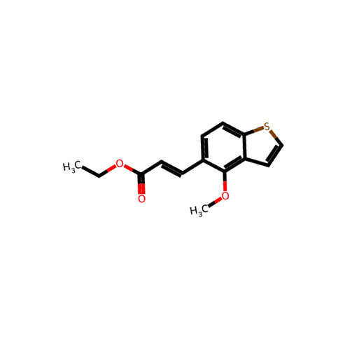 CCOC(=O)C=Cc1ccc2sccc2c1OC